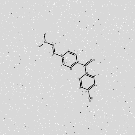 CN(C)N=Nc1ccc(C(=O)c2ccc(O)cc2)cc1